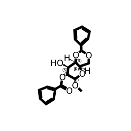 CO[C@H]1O[C@@H]2COC(c3ccccc3)O[C@@H]2[C@H](O)[C@H]1OC(=O)c1ccccc1